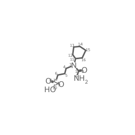 NC(=O)N(CCCS(=O)(=O)O)C1CCCCC1